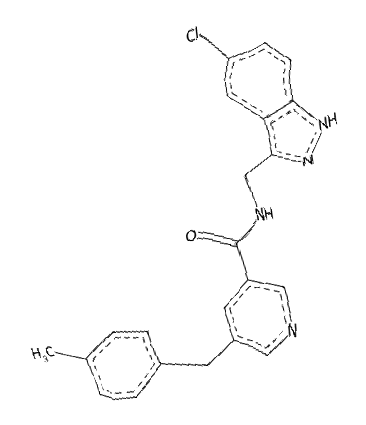 Cc1ccc(Cc2cncc(C(=O)NCc3n[nH]c4ccc(Cl)cc34)c2)cc1